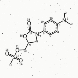 CN(C)c1ccc(N2CC(COS(C)(=O)=O)OC2=O)cc1